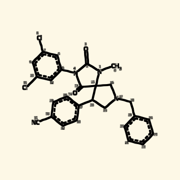 CN1C(=O)N(c2cc(Cl)cc(Cl)c2)C(=O)C12CN(Cc1ccccc1)CC2c1ccc(C#N)cc1